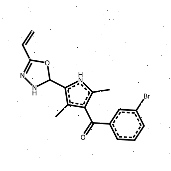 C=CC1=NNC(c2[nH]c(C)c(C(=O)c3cccc(Br)c3)c2C)O1